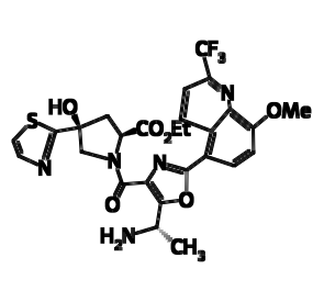 CCOC(=O)[C@@H]1C[C@@](O)(c2nccs2)CN1C(=O)c1nc(-c2ccc(OC)c3nc(C(F)(F)F)ccc23)oc1[C@H](C)N